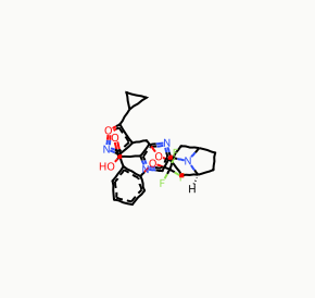 O=C(O)c1cnc(N2C3CC[C@H]2CC(OCc2c(-c4ccccc4OC(F)(F)F)noc2C2CC2)C3)cn1